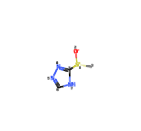 C[S@@+]([O-])c1nnc[nH]1